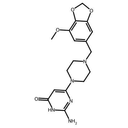 COc1cc(CN2CCN(c3cc(=O)[nH]c(N)n3)CC2)cc2c1OCO2